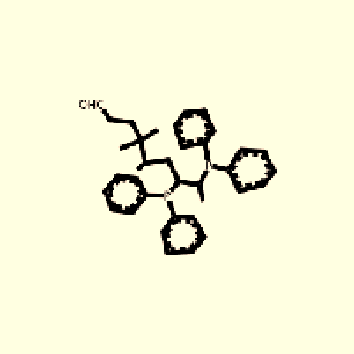 CC(C(CC(C)C(C)(C)CCC=O)P(c1ccccc1)c1ccccc1)P(c1ccccc1)c1ccccc1